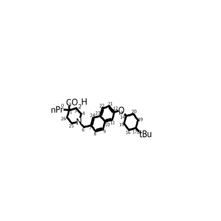 CCCC1(C(=O)O)CCN(Cc2ccc3cc(OC4CCC(C(C)(C)C)CC4)ccc3c2)CC1